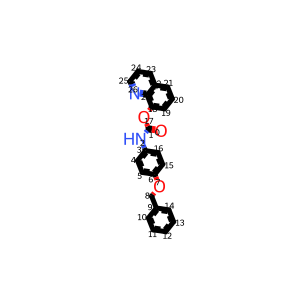 O=C(Nc1ccc(OCc2ccccc2)cc1)Oc1cccc2cccnc12